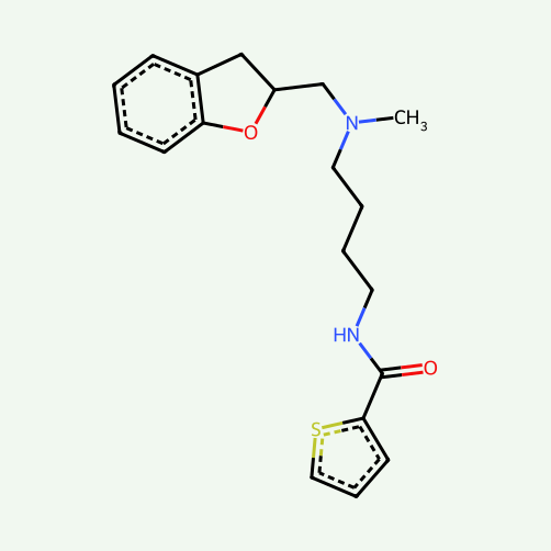 CN(CCCCNC(=O)c1cccs1)CC1Cc2ccccc2O1